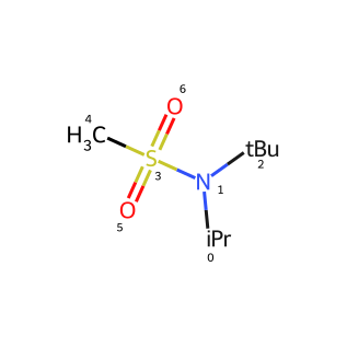 CC(C)N(C(C)(C)C)S(C)(=O)=O